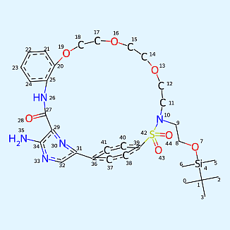 CC(C)(C)[Si](C)(C)OCCN1CCOCCOCCOc2ccccc2NC(=O)c2nc(cnc2N)-c2ccc(cc2)S1(=O)=O